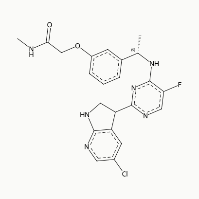 CNC(=O)COc1cccc([C@H](C)Nc2nc(C3CNc4ncc(Cl)cc43)ncc2F)c1